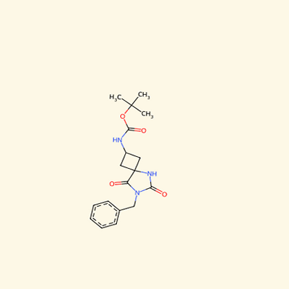 CC(C)(C)OC(=O)NC1CC2(C1)NC(=O)N(Cc1ccccc1)C2=O